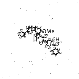 COc1cnc(-c2nc(-c3ccoc3)n[nH]2)c2c1C(C(=O)C(=O)N1CCN(C(=O)c3ccccc3)C(C)C1)CN2